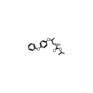 CC(C)OC(=O)NCC(C)Oc1ccc(Oc2ccccc2)cc1